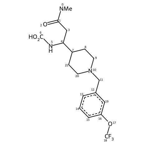 CNC(=O)CC(NC(=O)O)C1CCN(Cc2cccc(OC(F)(F)F)c2)CC1